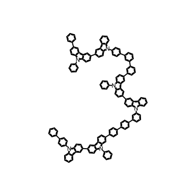 c1ccc(-c2ccc(-n3c4ccccc4c4cc(-c5ccc6c(c5)c5ccc(-c7ccc(-c8ccc(-c9cccc(-n%10c%11ccccc%11c%11cc(-c%12ccc%13c(c%12)c%12cc(-c%14cccc(-c%15cccc(-c%16ccc(-n%17c%18ccccc%18c%18cc(-c%19ccc%20c(c%19)c%19cc(-c%21ccccc%21)ccc%19n%20-c%19ccccc%19)ccc%18%17)cc%16)c%15)c%14)ccc%12n%13-c%12ccccc%12)ccc%11%10)c9)cc8)cc7)cc5n6-c5ccccc5)ccc43)cc2)cc1